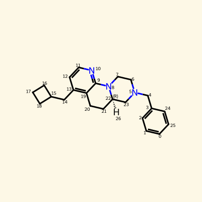 c1ccc(CN2CCN3c4nccc(CC5CCC5)c4CC[C@@H]3C2)cc1